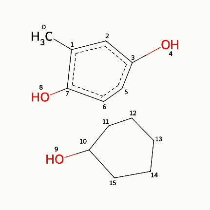 Cc1cc(O)ccc1O.OC1CCCCC1